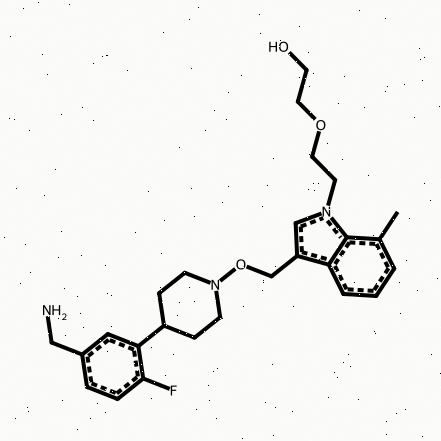 Cc1cccc2c(CON3CCC(c4cc(CN)ccc4F)CC3)cn(CCOCCO)c12